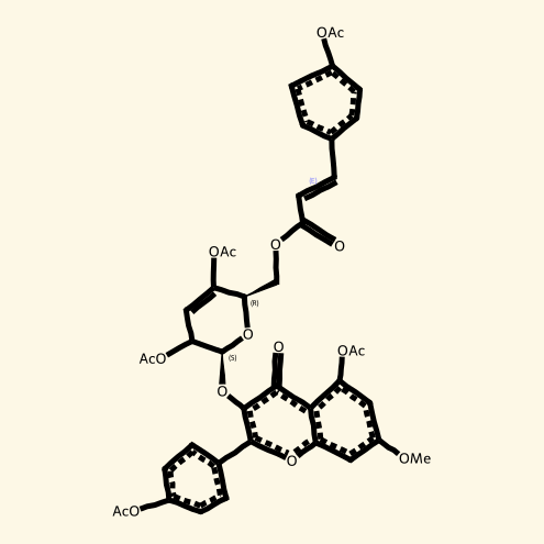 COc1cc(OC(C)=O)c2c(=O)c(O[C@@H]3O[C@H](COC(=O)/C=C/c4ccc(OC(C)=O)cc4)C(OC(C)=O)=CC3OC(C)=O)c(-c3ccc(OC(C)=O)cc3)oc2c1